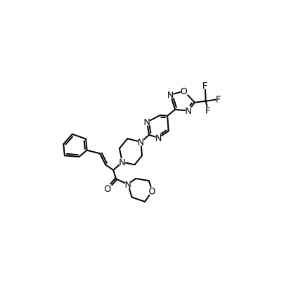 O=C(C(C=Cc1ccccc1)N1CCN(c2ncc(-c3noc(C(F)(F)F)n3)cn2)CC1)N1CCOCC1